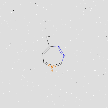 CC(C)C1=CC=[PH]=CN=N1